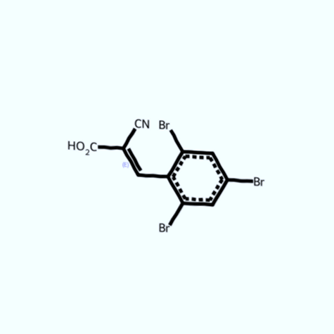 N#C/C(=C\c1c(Br)cc(Br)cc1Br)C(=O)O